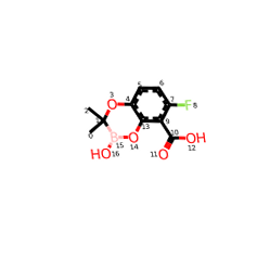 CC1(C)Oc2ccc(F)c(C(=O)O)c2OB1O